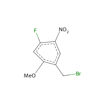 COc1cc(F)c([N+](=O)[O-])cc1CBr